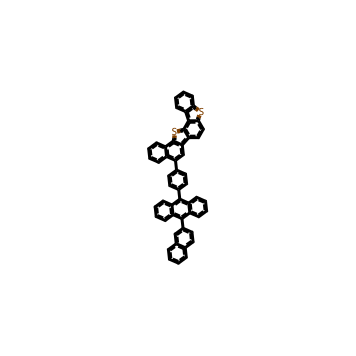 c1ccc2cc(-c3c4ccccc4c(-c4ccc(-c5cc6c7ccc8sc9ccccc9c8c7sc6c6ccccc56)cc4)c4ccccc34)ccc2c1